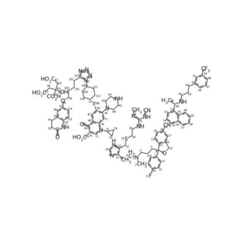 CN(C)CCCC1(c2ccc(F)cc2)OCc2cc(C#N)ccc21.CN=C(NC#N)NCCSCc1[nH]cnc1C.C[C@@H](NCCCc1cccc(C(F)(F)F)c1)c1cccc2ccccc12.O=C(O)CC(O)(CC(=O)O)C(=O)O.O=C(O)c1cn(C2CC2)c2cc(N3CCNCC3)c(F)cc2c1=O.O=C1CCc2cc(OCCCCc3nnnn3C3CCCCC3)ccc2N1